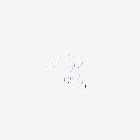 CC(C)CC(NC(=O)C(Cc1ccccc1)NC(=O)C(N)Cc1ccccc1)C(=O)NC(CCCCN)C(=O)N1CCC2(CC1)CN(S(=O)(=O)C1CC1)C2